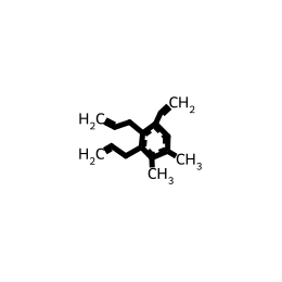 C=CCc1c(C=C)cc(C)c(C)c1CC=C